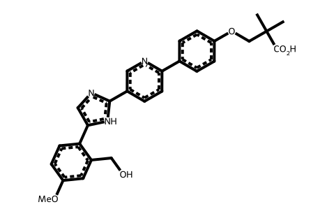 COc1ccc(-c2cnc(-c3ccc(-c4ccc(OCC(C)(C)C(=O)O)cc4)nc3)[nH]2)c(CO)c1